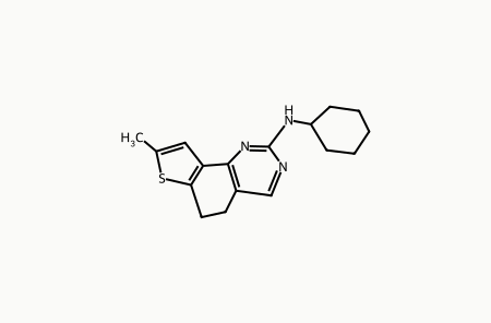 Cc1cc2c(s1)CCc1cnc(NC3CCCCC3)nc1-2